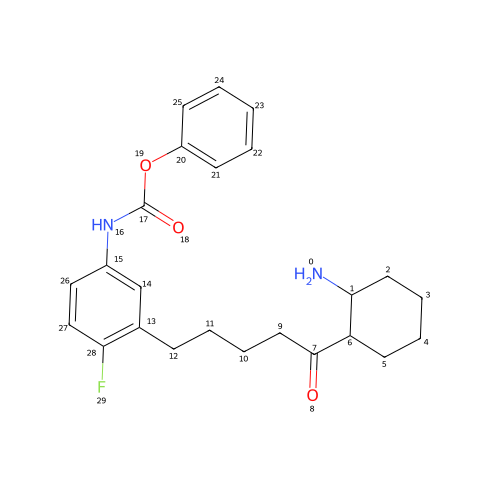 NC1CCCCC1C(=O)CCCCc1cc(NC(=O)Oc2ccccc2)ccc1F